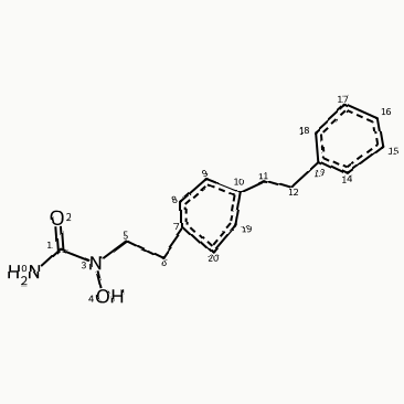 NC(=O)N(O)CCc1ccc(CCc2ccccc2)cc1